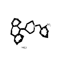 Cl.O=[N+]([O-])c1ccccc1CN1CCC(=C2c3ccccc3C=Cc3ccccc32)CC1